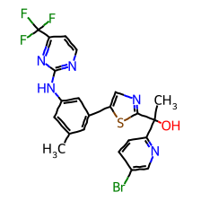 Cc1cc(Nc2nccc(C(F)(F)F)n2)cc(-c2cnc(C(C)(O)c3ccc(Br)cn3)s2)c1